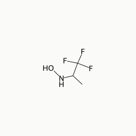 CC(NO)C(F)(F)F